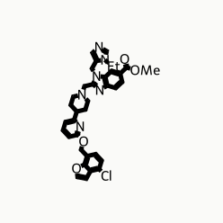 CCn1cncc1Cn1c(CN2CCC(c3cccc(OCc4ccc(Cl)c5ccoc45)n3)CC2)nc2ccc(C(=O)OC)cc21